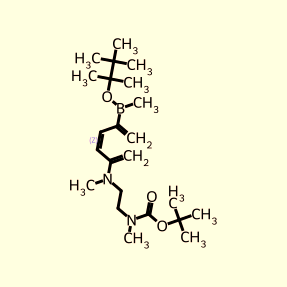 C=C(/C=C\C(=C)N(C)CCN(C)C(=O)OC(C)(C)C)B(C)OC(C)(C)C(C)(C)C